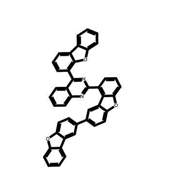 c1ccc2c(-c3cccc4c3oc3ccccc34)nc(-c3cccc4oc5ccc(-c6ccc7oc8ccccc8c7c6)cc5c34)nc2c1